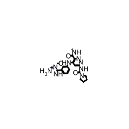 CNC(=O)c1nnc(NC(=O)N2CCCC2)cc1Nc1cccc(C(=N)/N=C\N)c1OC